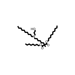 CCCCCCCCCCOC(=O)C(C)(CCCCCCN(CCCO)CCCCCCCCCC)C(=O)OCCCCCCCC